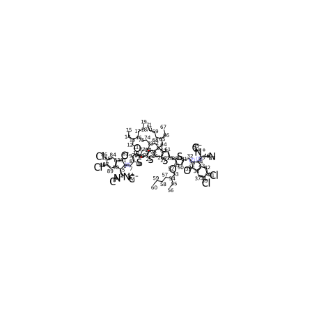 [C-]#[N+]C([N+]#[C-])=C1/C(=C/c2cc(OCC(CC)CCCC)c(-c3cc4c(s3)-c3sc(-c5sc(/C=C6\C(=O)c7cc(Cl)c(Cl)cc7\C6=C(/C#N)[N+]#[C-])cc5OCC(CC)CCCC)cc3C4(CC(CC)CCCC)CC(CC)CCCC)s2)C(=O)c2cc(Cl)c(Cl)cc21